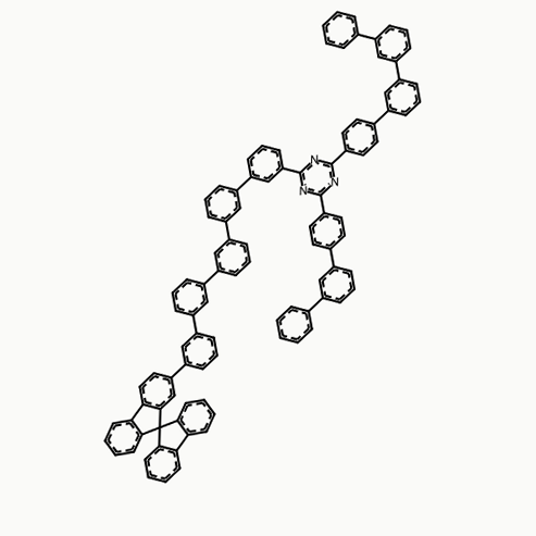 c1ccc(-c2cccc(-c3ccc(-c4nc(-c5ccc(-c6cccc(-c7cccc(-c8ccccc8)c7)c6)cc5)nc(-c5cccc(-c6cccc(-c7cccc(-c8cccc(-c9cccc(-c%10ccc%11c(c%10)C%10(c%12ccccc%12-c%12ccccc%12%10)c%10ccccc%10-%11)c9)c8)c7)c6)c5)n4)cc3)c2)cc1